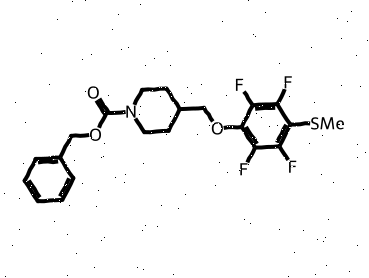 CSc1c(F)c(F)c(OCC2CCN(C(=O)OCc3ccccc3)CC2)c(F)c1F